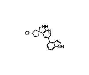 ClC1CCC2(CNc3ncc(-c4cccc5[nH]ccc45)cc32)C1